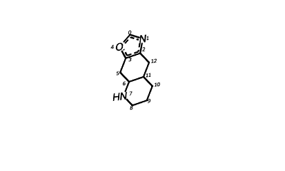 c1nc2c(o1)CC1NCCCC1C2